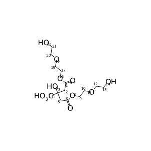 O=C(CC(O)(CC(=O)OCCOCCO)C(=O)O)OCCOCCO